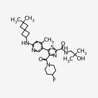 Cc1cc(NC2CC3(C2)CC(C)(C)C3)ncc1-c1sc(C(=O)NCC(C)(C)O)nc1C(=O)N1CCC(F)CC1